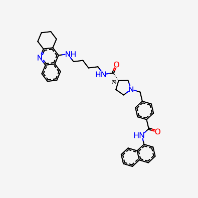 O=C(Nc1cccc2ccccc12)c1ccc(CN2CC[C@H](C(=O)NCCCCNc3c4c(nc5ccccc35)CCCC4)C2)cc1